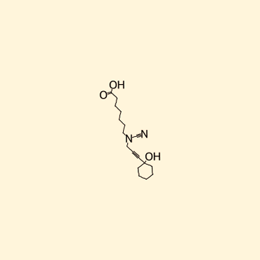 N#CN(CC#CC1(O)CCCCC1)CCCCCCC(=O)O